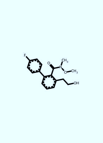 CON(C)C(=O)c1c(CCO)cccc1-c1ccc(F)cc1